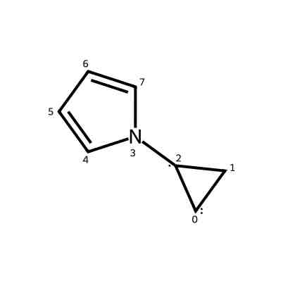 [C]1C[C]1n1cccc1